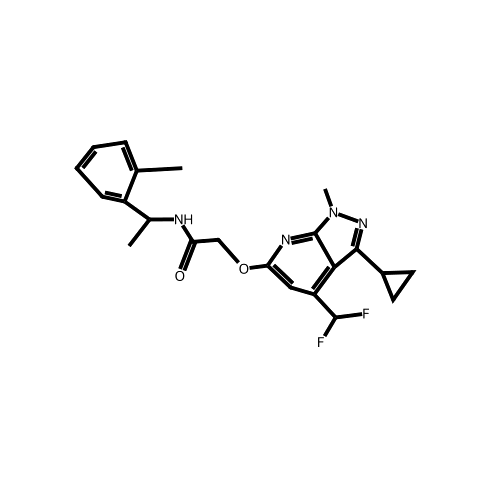 Cc1ccccc1C(C)NC(=O)COc1cc(C(F)F)c2c(C3CC3)nn(C)c2n1